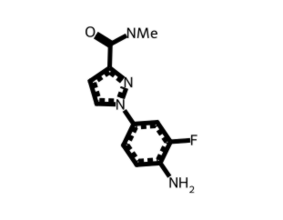 CNC(=O)c1ccn(-c2ccc(N)c(F)c2)n1